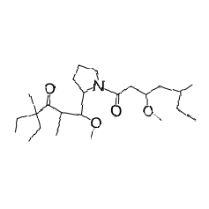 CCC(C)CC(CC(=O)N1CCCC1C(OC)C(C)C(=O)C(C)(CC)CC)OC